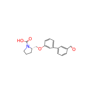 O=Cc1cccc(-c2cccc(OC[C@@H]3CCCN3C(=O)O)c2)c1